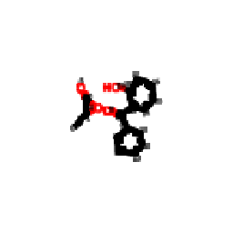 CC1OC1=O.O=C(c1ccccc1)c1ccccc1O